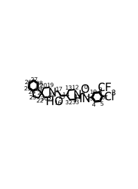 O=C(Nc1ccc(Cl)c(C(F)(F)F)c1)N1CCC(C(O)CN2CCC3(CCc4ccccc43)CC2)CC1